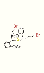 CC(=O)Oc1ccccc1C(CCCCBr)CSCC(CCCCBr)c1ccccc1OC(C)=O